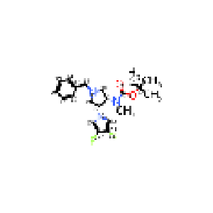 CN(C(=O)OC(C)(C)C)[C@@H]1CN(Cc2ccccc2)C[C@H]1n1cc(F)c(F)c1